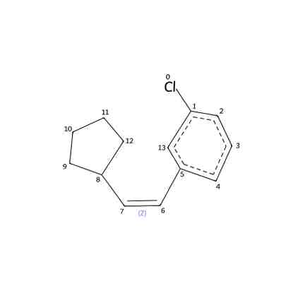 Clc1cccc(/C=C\C2CCCC2)c1